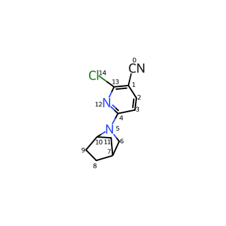 N#Cc1ccc(N2CC3CCC2C3)nc1Cl